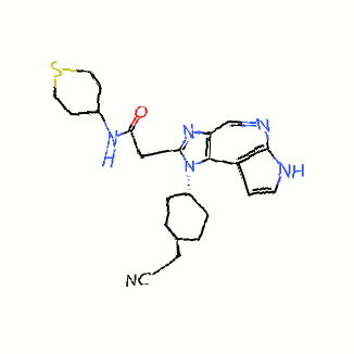 N#CC[C@H]1CC[C@H](n2c(CC(=O)NC3CCSCC3)nc3cnc4[nH]ccc4c32)CC1